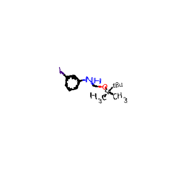 CC(C)(C)[Si](C)(C)OCNc1cccc(I)c1